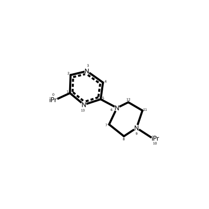 CC(C)c1cncc(N2CCN(C(C)C)CC2)n1